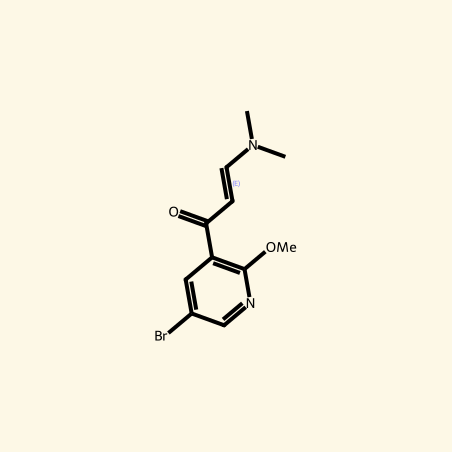 COc1ncc(Br)cc1C(=O)/C=C/N(C)C